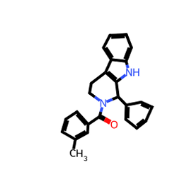 Cc1cccc(C(=O)N2CCc3c([nH]c4ccccc34)C2c2ccccc2)c1